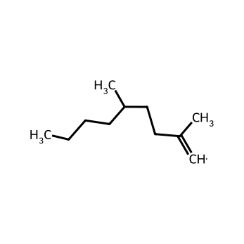 [CH]=C(C)CCC(C)CCCC